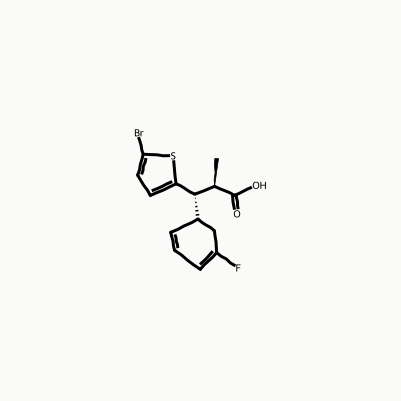 C[C@@H](C(=O)O)[C@@H](c1ccc(Br)s1)C1C=CC=C(F)C1